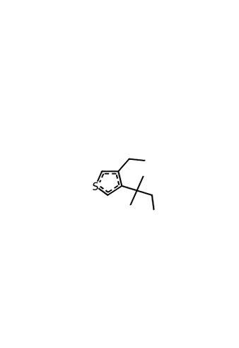 CCc1cscc1C(C)(C)CC